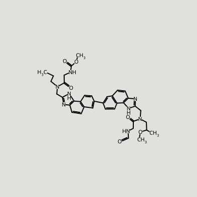 CCCN(Cc1nc2ccc3cc(-c4ccc5c(ccc6nc(CN(CC(C)OC)C(=O)CNC=O)[nH]c65)c4)ccc3c2[nH]1)C(=O)CNC(=O)OC